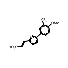 COc1ccc(-c2ccc(/C=C/C(=O)O)o2)cc1C(F)(F)F